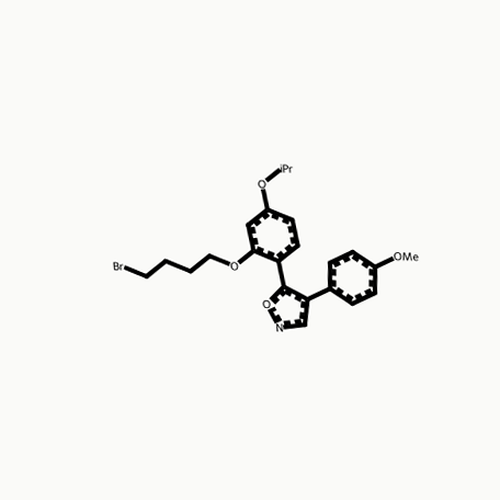 COc1ccc(-c2cnoc2-c2ccc(OC(C)C)cc2OCCCCBr)cc1